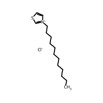 CCCCCCCCCCCC[n+]1ccsc1.[Cl-]